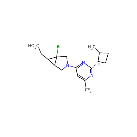 CC1CC[C@@H]1c1nc(N2CC3C(CC(=O)O)C3(Br)C2)cc(C(F)(F)F)n1